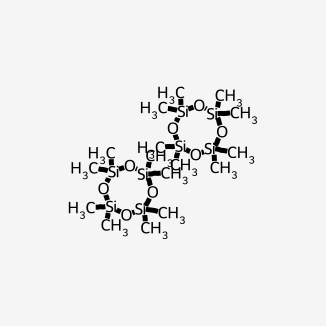 C[Si]1(C)O[Si](C)(C)O[Si](C)(C)O[Si](C)(C)O1.C[Si]1(C)O[Si](C)(C)O[Si](C)(C)O[Si](C)(C)O1